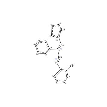 Clc1ccccc1/C=N/C(=C/c1cccs1)c1ccccc1